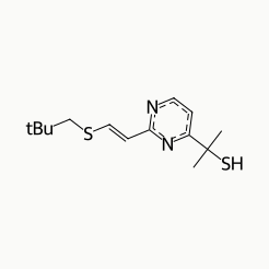 CC(C)(C)CS/C=C/c1nccc(C(C)(C)S)n1